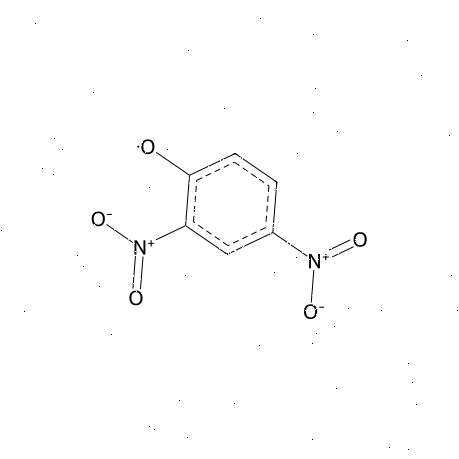 [O]c1ccc([N+](=O)[O-])cc1[N+](=O)[O-]